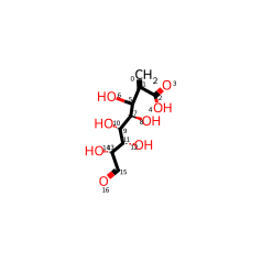 C=C(C(=O)O)C(O)[C@@H](O)[C@@H](O)[C@H](O)[C@@H](O)C=O